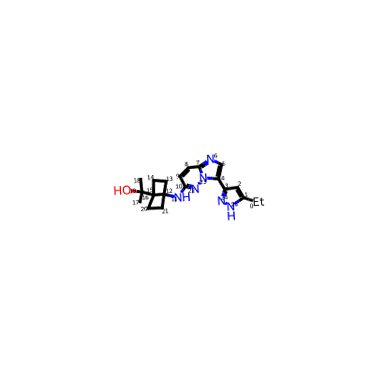 CCc1cc(-c2cnc3ccc(NC45CCC4(C(C)(C)O)CC5)nn23)n[nH]1